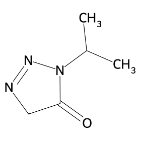 CC(C)N1N=NCC1=O